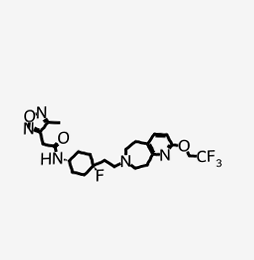 Cc1nonc1CC(=O)N[C@H]1CC[C@](F)(CCN2CCc3ccc(OCC(F)(F)F)nc3CC2)CC1